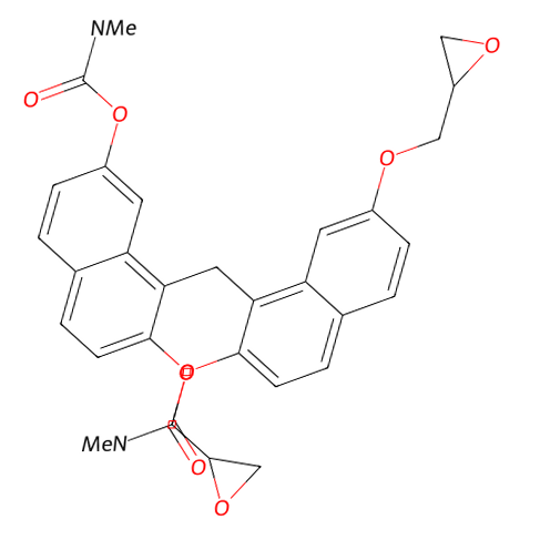 CNC(=O)Oc1ccc2ccc(OCC3CO3)c(Cc3c(OC(=O)NC)ccc4ccc(OCC5CO5)cc34)c2c1